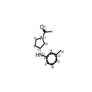 CC(=O)N1CC[C@@H](Nc2cccc(C)c2)C1